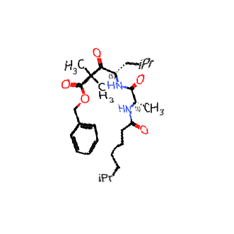 CC(C)CCCCC(=O)N[C@@H](C)C(=O)N[C@@H](CC(C)C)C(=O)C(C)(C)C(=O)OCc1ccccc1